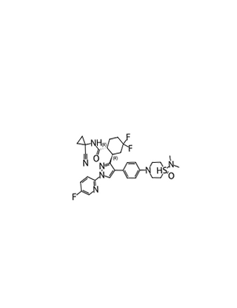 CN(C)[SH]1(=O)CCN(c2ccc(-c3cn(-c4ccc(F)cn4)nc3[C@@H]3CC(F)(F)CC[C@H]3C(=O)NC3(C#N)CC3)cc2)CC1